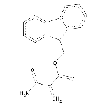 C=C(C(N)=O)C(=O)OCC1c2ccccc2-c2ccccc21